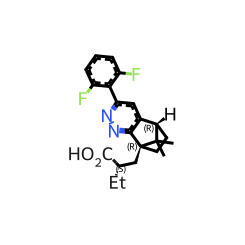 CC[C@@H](C[C@@]12CC[C@@H](c3cc(-c4c(F)cccc4F)nnc31)C2(C)C)C(=O)O